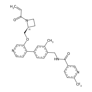 C=CC(=O)N1CC[C@H]1COc1cnccc1-c1ccc(CNC(=O)c2ccc(C(F)(F)F)nc2)c(C)c1